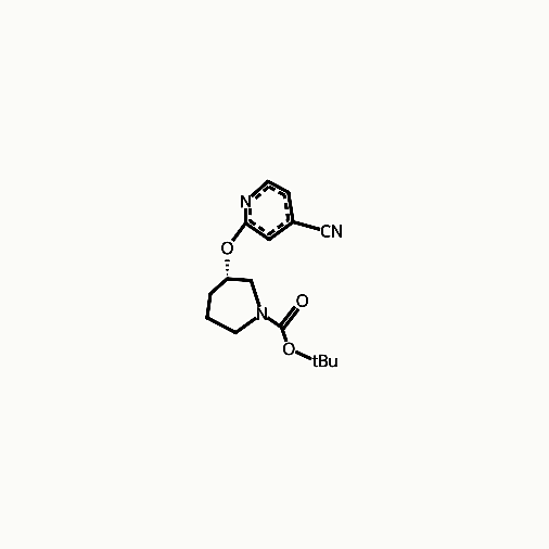 CC(C)(C)OC(=O)N1CCC[C@H](Oc2cc(C#N)ccn2)C1